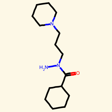 NN(CCCN1CCCCC1)C(=O)C1CCCCC1